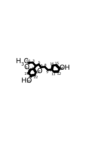 CC(=O)CC(CC(=O)CCc1ccc(O)cc1)c1ccc(O)cc1